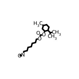 CC1CCC(C(C)C)C(OC(=O)OCCCCCCCN=O)C1